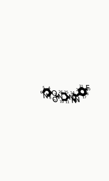 O=C(Oc1cccnc1)N1CCC(n2cc(-c3ccc(F)cc3)nn2)CC1